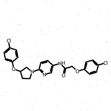 O=C(COc1ccc(Cl)cc1)Nc1ccc(N2CCC(Oc3ccc(Cl)cc3)C2)nc1